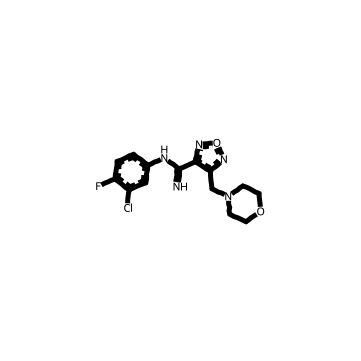 N=C(Nc1ccc(F)c(Cl)c1)c1nonc1CN1CCOCC1